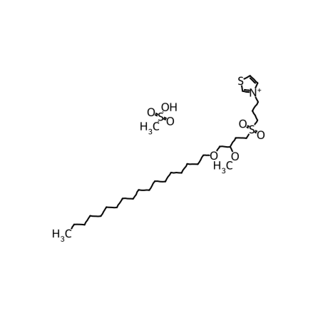 CCCCCCCCCCCCCCCCCCOCC(CCS(=O)(=O)CCC[n+]1ccsc1)OC.CS(=O)(=O)O